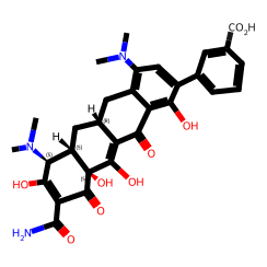 CN(C)c1cc(-c2cccc(C(=O)O)c2)c(O)c2c1C[C@H]1C[C@H]3[C@H](N(C)C)C(O)=C(C(N)=O)C(=O)[C@@]3(O)C(O)=C1C2=O